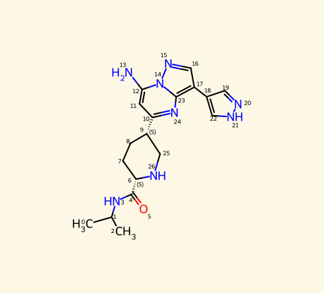 CC(C)NC(=O)[C@@H]1CC[C@H](c2cc(N)n3ncc(-c4cn[nH]c4)c3n2)CN1